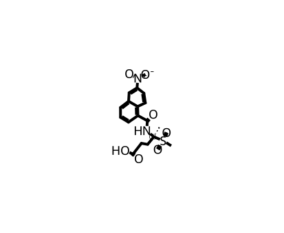 C[C@](CCC(=O)O)(NC(=O)c1cccc2cc([N+](=O)[O-])ccc12)S(C)(=O)=O